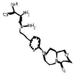 N/C(=C\N(N)Cc1ccc(N2CCN3C(=O)COCC3C2)nc1)C(=O)O